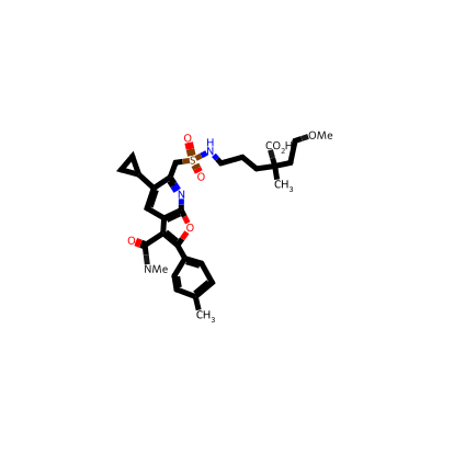 CNC(=O)c1c(-c2ccc(C)cc2)oc2nc(CS(=O)(=O)NCCCC(C)(CCOC)C(=O)O)c(C3CC3)cc12